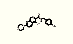 N#Cc1ccc(CNC(=O)c2ncc3nc(N4CCOCC4)ccc3c2O)cc1